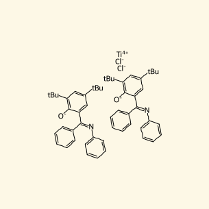 CC(C)(C)c1cc(C(=Nc2ccccc2)c2ccccc2)c([O-])c(C(C)(C)C)c1.CC(C)(C)c1cc(C(=Nc2ccccc2)c2ccccc2)c([O-])c(C(C)(C)C)c1.[Cl-].[Cl-].[Ti+4]